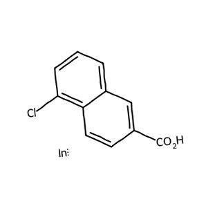 O=C(O)c1ccc2c(Cl)cccc2c1.[In]